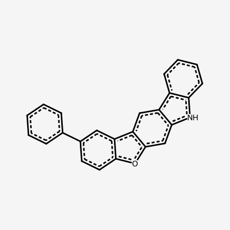 c1ccc(-c2ccc3oc4cc5[nH]c6ccccc6c5cc4c3c2)cc1